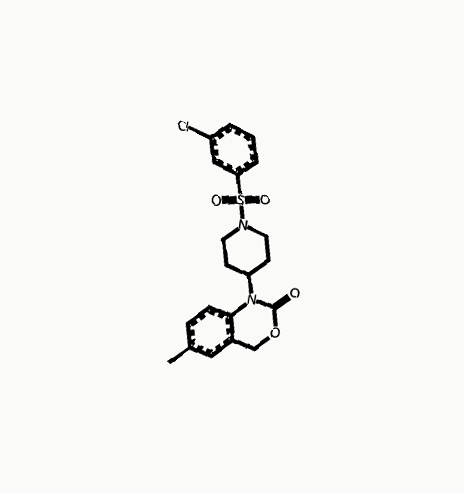 Cc1ccc2c(c1)COC(=O)N2C1CCN(S(=O)(=O)c2cccc(Cl)c2)CC1